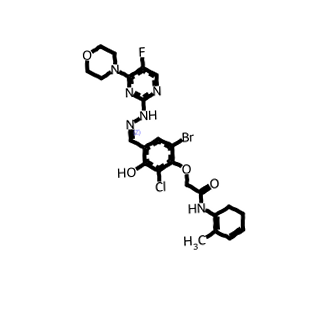 CC1=C(NC(=O)COc2c(Br)cc(/C=N\Nc3ncc(F)c(N4CCOCC4)n3)c(O)c2Cl)CCC=C1